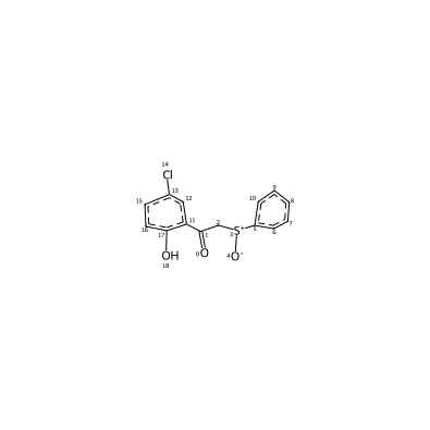 O=C(C[S+]([O-])c1ccccc1)c1cc(Cl)ccc1O